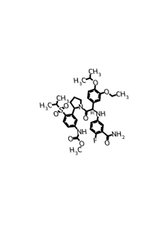 CCOc1cc([C@@H](Nc2ccc(F)c(C(N)=O)c2)C(=O)N2CCCC2c2cc(NC(=O)OC)ccc2S(=O)(=O)C(C)C)ccc1OC(C)C